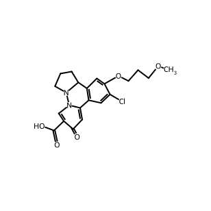 COCCCOc1cc2c(cc1Cl)-c1cc(=O)c(C(=O)O)cn1N1CCCC21